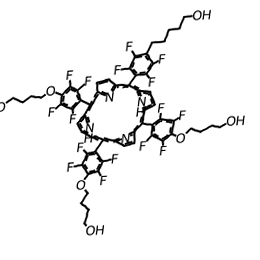 OCCCCCc1c(F)c(F)c(-c2c3nc(c(-c4c(F)c(F)c(OCCCCO)c(F)c4F)c4ccc([nH]4)c(-c4c(F)c(F)c(OCCCCO)c(F)c4F)c4nc(c(-c5c(F)c(F)c(OCCCCO)c(F)c5F)c5ccc2[nH]5)C=C4)C=C3)c(F)c1F